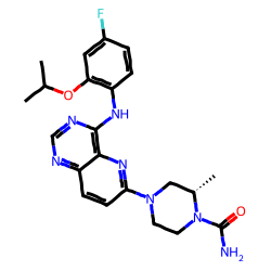 CC(C)Oc1cc(F)ccc1Nc1ncnc2ccc(N3CCN(C(N)=O)[C@@H](C)C3)nc12